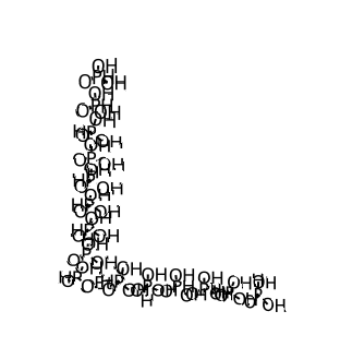 CCO[PH](=O)O.O=[PH](O)O.O=[PH](O)O.O=[PH](O)O.O=[PH](O)O.O=[PH](O)O.O=[PH](O)O.O=[PH](O)O.O=[PH](O)O.O=[PH](O)O.O=[PH](O)O.O=[PH](O)O.O=[PH](O)O.O=[PH](O)O.O=[PH](O)O